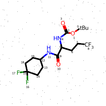 CC(C)(C)OC(=O)NC(CCC(F)(F)F)C(=O)NC1CCC(F)(F)CC1